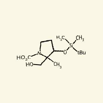 CC1(CO)C(O[Si](C)(C)C(C)(C)C)CCN1C(=O)O